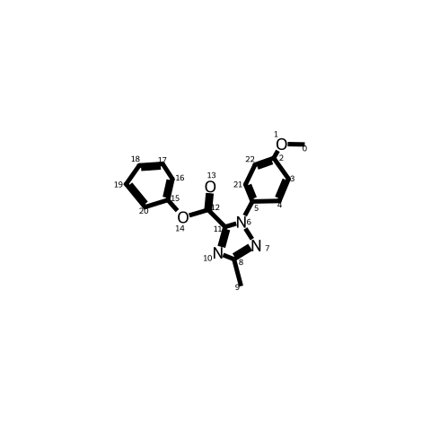 COc1ccc(-n2nc(C)nc2C(=O)Oc2ccccc2)cc1